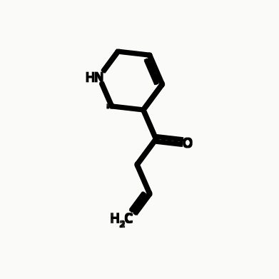 C=CCC(=O)C1[C]NCC=C1